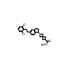 COC(=O)C1CC2(C1)CN(C1CCc3cc(CCc4c(Cl)cccc4Cl)ccc31)C2